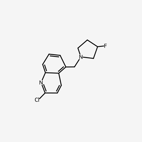 FC1CCN(Cc2cccc3nc(Cl)ccc23)C1